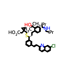 CC(C)(O)c1ccccc1CC[C@@H](SCC1(CC(=O)O)CC1)c1cccc(/C=C/c2ccc3ccc(Cl)cc3n2)c1.CC(C)CNCC(C)C